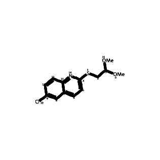 COC(CSc1ccc2cc(Cl)ccc2n1)OC